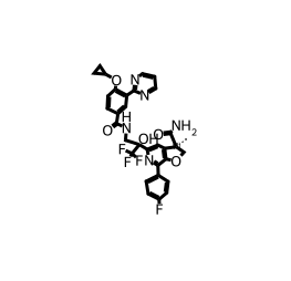 C[C@]1(C(N)=O)COc2c1cc(C(O)(CNC(=O)c1ccc(OC3CC3)c(-c3ncccn3)c1)C(F)(F)F)nc2-c1ccc(F)cc1